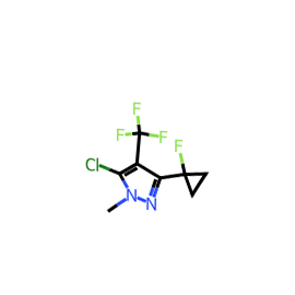 Cn1nc(C2(F)CC2)c(C(F)(F)F)c1Cl